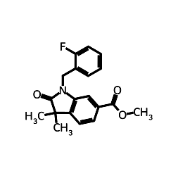 COC(=O)c1ccc2c(c1)N(Cc1ccccc1F)C(=O)C2(C)C